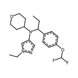 CCC(c1ccc(OC(F)F)cc1)N(c1cnn(CC)c1)C1CCOCC1